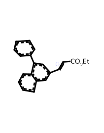 CCOC(=O)/C=C/c1cc(-c2ccccc2)c2ccccc2c1